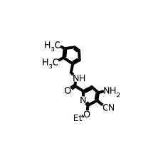 CCOc1nc(C(=O)NCc2cccc(C)c2C)cc(N)c1C#N